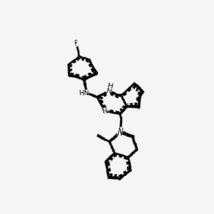 CC1c2ccccc2CCN1c1nc(Nc2ccc(F)cc2)[nH]c2cccc1-2